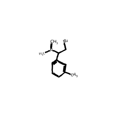 Cc1cccc(C(CC(C)(C)C)N(C)C)c1